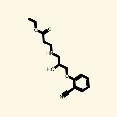 CCOC(=O)CCNCC(O)COc1ccccc1C#N